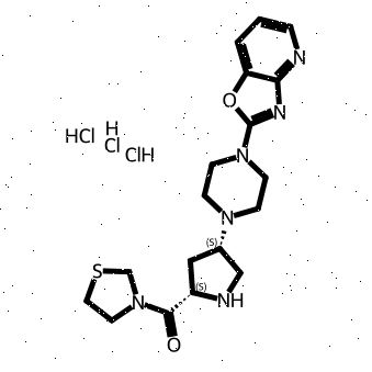 Cl.Cl.Cl.O=C([C@@H]1C[C@H](N2CCN(c3nc4ncccc4o3)CC2)CN1)N1CCSC1